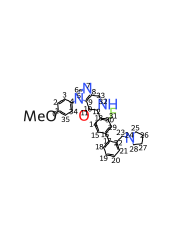 COc1ccc(-n2cnc3c2C(=O)C(c2ccc(-c4ccccc4CN4CCCC4)cc2F)NC3)cc1